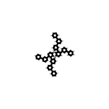 C1=C(c2cccc(-c3ccccc3)c2)C2c3cc(-c4cccc(-c5ccccc5)c4)ccc3N3c4ccc(-c5cccc(-c6ccccc6)c5)c5c6cc(-c7cccc(-c8ccccc8)c7)ccc6n(c45)C(=C1)C23